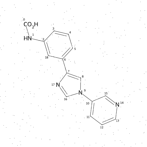 O=C(O)Nc1cccc(-c2cn(-c3cccnc3)cn2)c1